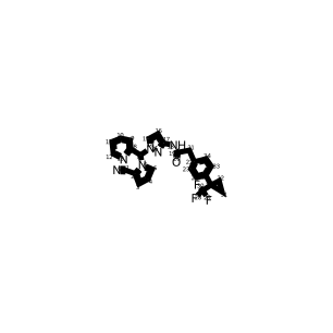 N#Cc1cccn1C(c1ccccn1)n1ccc(NC(=O)Cc2ccc(C3(C(F)(F)F)CC3)cc2)n1